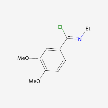 CCN=C(Cl)c1ccc(OC)c(OC)c1